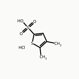 Cc1cc(S(=O)(=O)O)sc1C.Cl